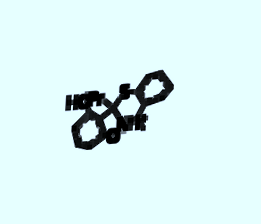 CC1c2ccccc2SC(c2ccccc2O)(C(C)C)[NH+]1[O-]